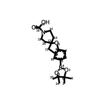 CC1(C)OB(c2ccc3c(c2)CC2(CCN(C(=O)O)CC2)O3)OC1(C)C